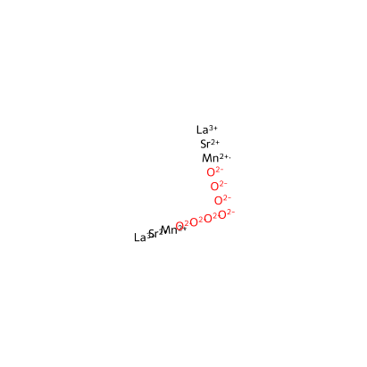 [La+3].[La+3].[Mn+2].[Mn+2].[O-2].[O-2].[O-2].[O-2].[O-2].[O-2].[O-2].[Sr+2].[Sr+2]